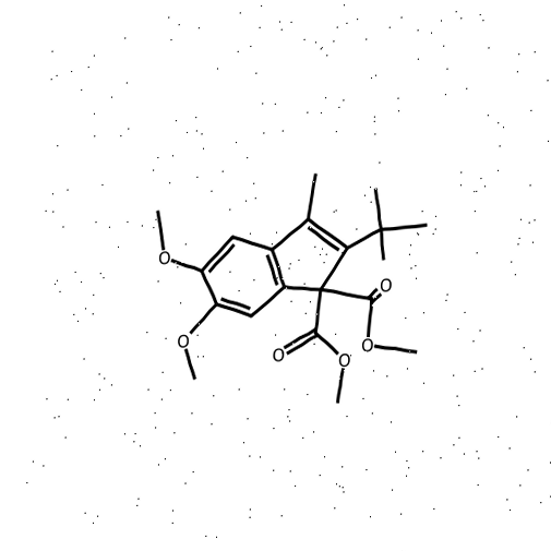 COC(=O)C1(C(=O)OC)C(C(C)(C)C)=C(C)c2cc(OC)c(OC)cc21